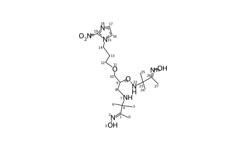 C/C(=N\O)C(C)(C)NCC(COCCCn1ccnc1[N+](=O)[O-])ONC(C)(C)/C(C)=N/O